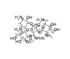 CC(=O)NC[C@H]1O[C@@H](OC2C(O)[C@H](N)CC(N)[C@H]2O[C@H]2OC(CO)[C@@H](O)C(O)C2N)[C@@H](O)[C@H]1O[C@H]1OC(CN)[C@@H](O)C(CO)C1N